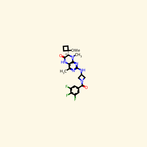 COC1([C@H]2C(=O)Nc3c(C)nc(NC4CN(C(=O)c5cc(F)c(F)c(F)c5)C4)nc3N2C)CCC1